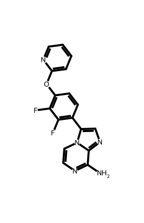 Nc1nccn2c(-c3ccc(Oc4ccccn4)c(F)c3F)cnc12